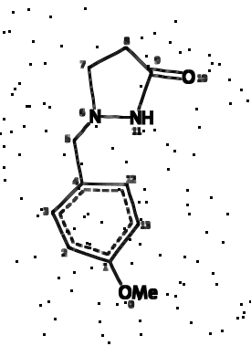 COc1ccc(CN2CCC(=O)N2)cc1